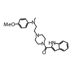 COc1ccc(N(C)CCN2CCN(C(=O)c3cc4ccccc4[nH]3)CC2)cc1